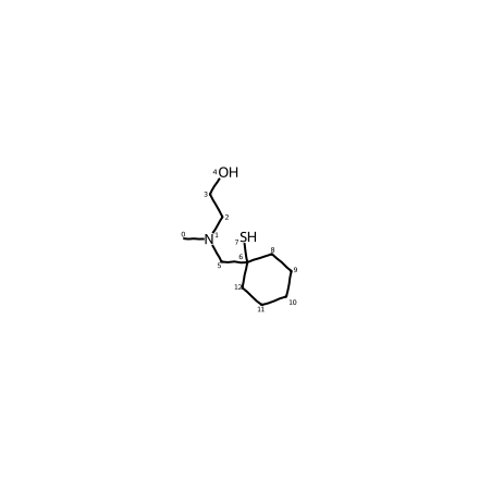 CN(CCO)CC1(S)CCCCC1